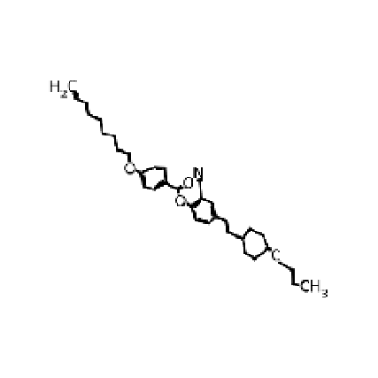 C=CCCCCCCCOc1ccc(C(=O)Oc2ccc(CCC3CCC(CCCCC)CC3)cc2C#N)cc1